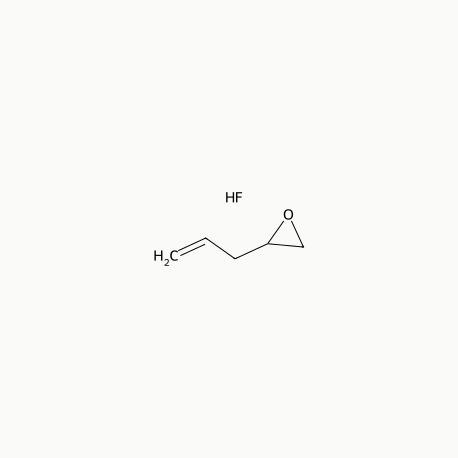 C=CCC1CO1.F